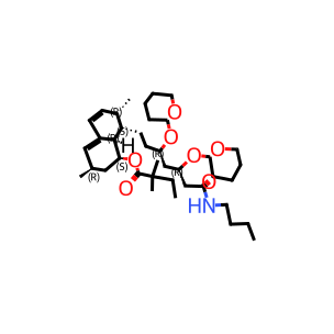 CCCCNC(=O)C[C@@H](C[C@@H](CC[C@@H]1[C@@H]2C(=C[C@H](C)C[C@@H]2OC(=O)C(C)(C)CC)C=C[C@@H]1C)OC1CCCCO1)OC1CCCCO1